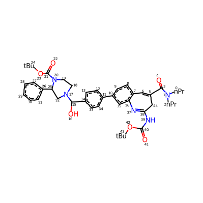 CCCN(CCC)C(=O)C1=Cc2ccc(-c3ccc(C(O)N4CCN(C(=O)OC(C)(C)C)C(c5ccccc5)C4)cc3)cc2N=C(NC(=O)OC(C)(C)C)C1